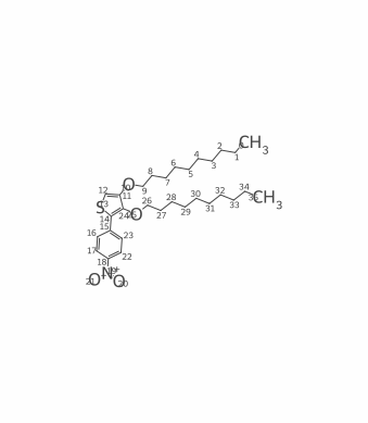 CCCCCCCCCCOc1csc(-c2ccc([N+](=O)[O-])cc2)c1OCCCCCCCCCC